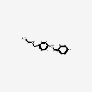 CC(=O)COCc1ccc(OCc2ccccc2)cc1